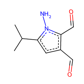 CC(C)c1cc(C=O)c(C=O)n1N